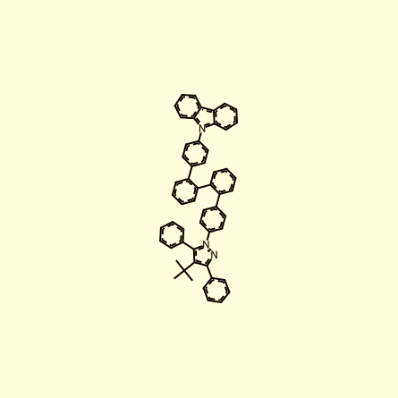 CC(C)(C)c1c(-c2ccccc2)nn(-c2ccc(-c3ccccc3-c3ccccc3-c3ccc(-n4c5ccccc5c5ccccc54)cc3)cc2)c1-c1ccccc1